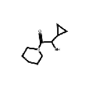 [NH]C(C(=O)N1CCCCC1)C1CC1